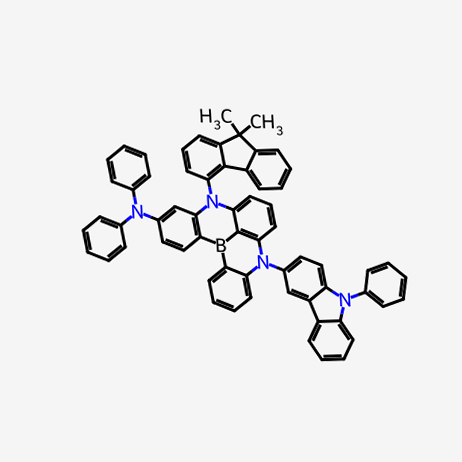 CC1(C)c2ccccc2-c2c(N3c4cc(N(c5ccccc5)c5ccccc5)ccc4B4c5ccccc5N(c5ccc6c(c5)c5ccccc5n6-c5ccccc5)c5cccc3c54)cccc21